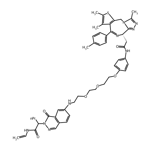 C=CNC(=O)C(CCC)n1ncc2ccc(NCCOCCOCCOc3ccc(NC(=O)C[C@@H]4/N=C(/c5ccc(C)cc5)c5c(sc(C)c5C)Cn5c(C)nnc54)cc3)cc2c1=O